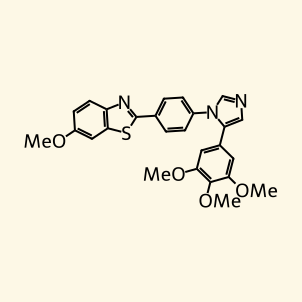 COc1ccc2nc(-c3ccc(-n4cncc4-c4cc(OC)c(OC)c(OC)c4)cc3)sc2c1